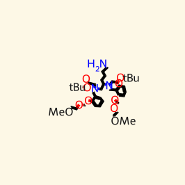 COCCOCOc1ccccc1CN(CC(=O)OC(C)(C)C)CC(CCCCN)N(CC(=O)OC(C)(C)C)Cc1ccccc1OCOCCOC